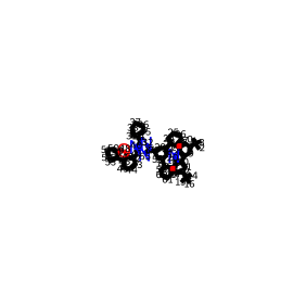 CC(C)(C)c1ccc2c(c1)c1cc(C(C)(C)C)ccc1n2-c1c(-c2ccccc2)cc(-c2nc(-c3ccccc3)nc(-c3cccc4c3oc3ccccc34)n2)cc1-c1ccccc1